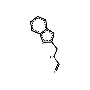 O=CNCc1nc2ccccc2s1